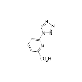 O=C(O)c1cccc(-n2cnnn2)n1